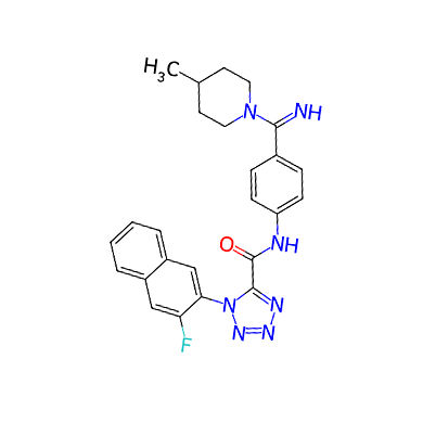 CC1CCN(C(=N)c2ccc(NC(=O)c3nnnn3-c3cc4ccccc4cc3F)cc2)CC1